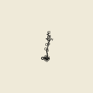 C=C(CN(CCOC(=O)CCCC(=O)OCC#CCOc1no[n+]([O-])c1S(=O)(=O)c1ccccc1)C(C)C)[C@@H]1CC[C@H](C)[C@H](C(=C)CCl)C1